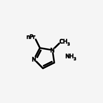 CCCc1nccn1C.N